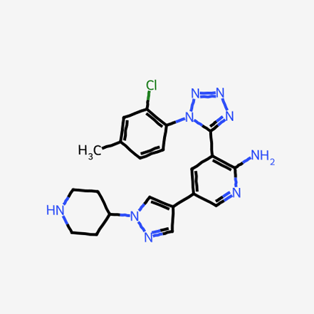 Cc1ccc(-n2nnnc2-c2cc(-c3cnn(C4CCNCC4)c3)cnc2N)c(Cl)c1